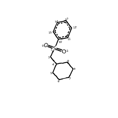 O=S(=O)(CC1CCCCC1)c1ccccc1